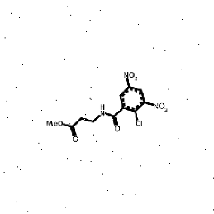 COC(=O)CCNC(=O)c1cc([N+](=O)[O-])cc([N+](=O)[O-])c1Cl